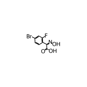 O=C(O)/C(=N\O)c1ccc(Br)cc1F